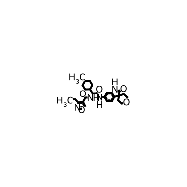 CCc1nocc1C(=O)NC(C(=O)Nc1ccc2c(c1)NC(=O)C21CCOCC1)C1CCC(C)CC1